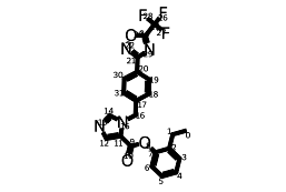 CCc1ccccc1OC(=O)c1cncn1Cc1ccc(-c2noc(C(F)(F)F)n2)cc1